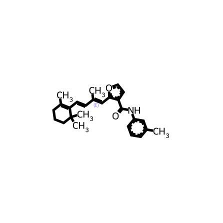 CC1=C(C=C/C(C)=C/c2occc2C(=O)Nc2cccc(C)c2)C(C)(C)CCC1